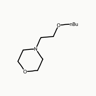 CCCCOCCN1CCOCC1